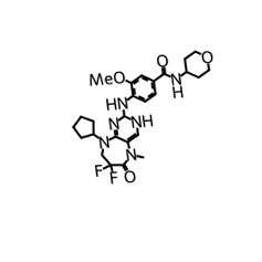 COc1cc(C(=O)NC2CCOCC2)ccc1NC1N=C2C(=CN1)N(C)C(=O)C(F)(F)CN2C1CCCC1